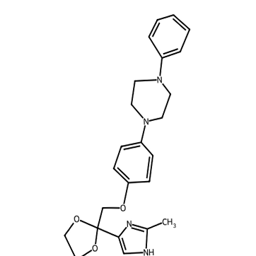 Cc1nc(C2(COc3ccc(N4CCN(c5ccccc5)CC4)cc3)OCCO2)c[nH]1